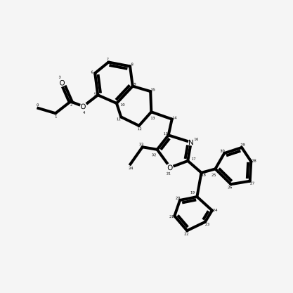 CCC(=O)Oc1cccc2c1CCC(Cc1nc(C(c3ccccc3)c3ccccc3)oc1CC)C2